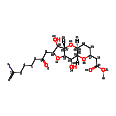 C=C(I)CCCCC(=O)CC1OC2C(O)[C@H]3OC(CC(=O)OC)CC[C@@H]3O[C@H]2C1O